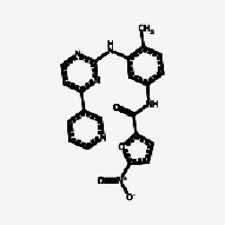 Cc1ccc(NC(=O)c2ccc([N+](=O)[O-])o2)cc1Nc1nccc(-c2cccnc2)n1